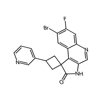 O=C1Nc2cnc3cc(F)c(Br)cc3c2C12CC(c1cccnc1)C2